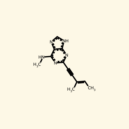 C/C=C(\C)C#Cc1nc(NC)c2nc[nH]c2n1